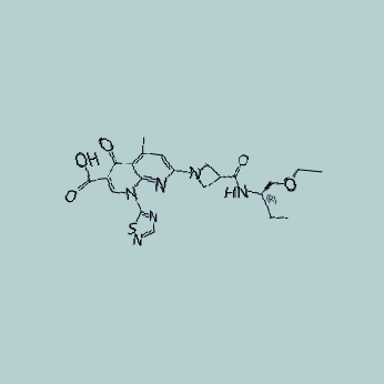 CCOC[C@@H](CC)NC(=O)C1CN(c2cc(C)c3c(=O)c(C(=O)O)cn(-c4ncns4)c3n2)C1